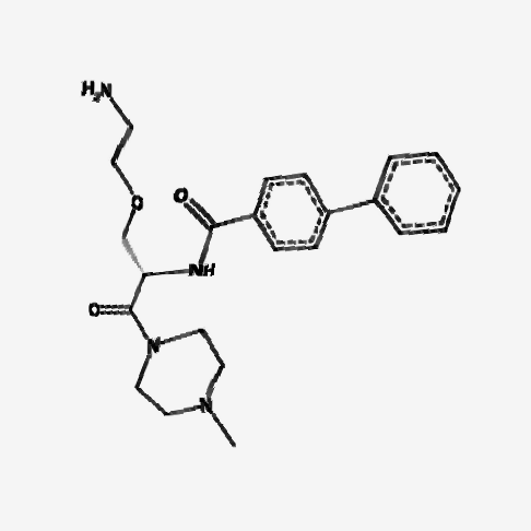 CN1CCN(C(=O)[C@H](COCCN)NC(=O)c2ccc(-c3ccccc3)cc2)CC1